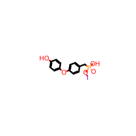 O=P(O)(Cc1ccc(Oc2ccc(O)cc2)cc1)OI